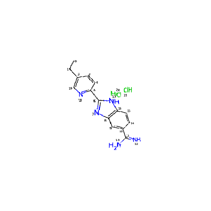 CCc1ccc(-c2nc3cc(C(=N)N)ccc3[nH]2)nc1.Cl.Cl